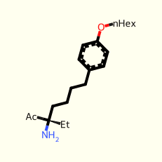 CCCCCCOc1ccc(CCCC[C@@](N)(CC)C(C)=O)cc1